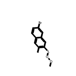 COOSc1cc2cc(Br)ccc2cc1C